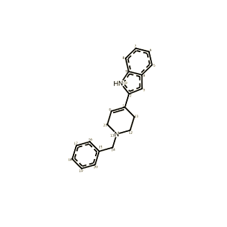 C1=C(c2cc3ccccc3[nH]2)CCN(Cc2ccccc2)C1